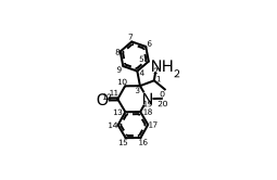 CC(N)C1(c2ccccc2)CC(=O)c2ccccc2N1C